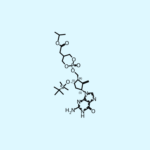 C=C1[C@H](COP2(=O)OCC(CC(=O)OC(C)C)CO2)[C@@H](O[Si](C)(C)C(C)(C)C)C[C@@H]1n1cnc2c(=O)[nH]c(N)nc21